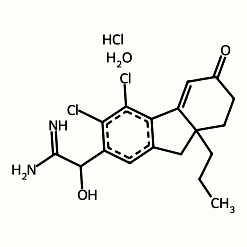 CCCC12CCC(=O)C=C1c1c(cc(C(O)C(=N)N)c(Cl)c1Cl)C2.Cl.O